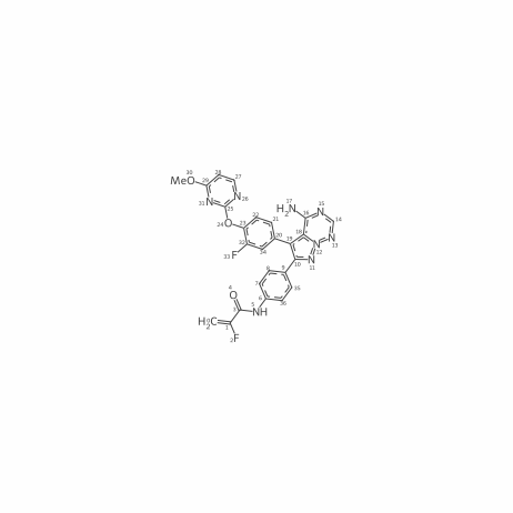 C=C(F)C(=O)Nc1ccc(-c2nn3ncnc(N)c3c2-c2ccc(Oc3nccc(OC)n3)c(F)c2)cc1